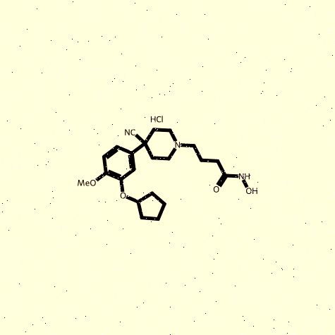 COc1ccc(C2(C#N)CCN(CCCC(=O)NO)CC2)cc1OC1CCCC1.Cl